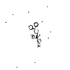 C1=CN(P(OC2CCC(c3ccccc3)(c3ccccc3)CC2)n2ccnc2)CN1